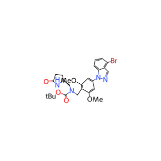 COc1cc(-n2ncc3c(Br)cccc32)cc(OC)c1CN(C[C@@H]1CCC(=O)N1)C(=O)OC(C)(C)C